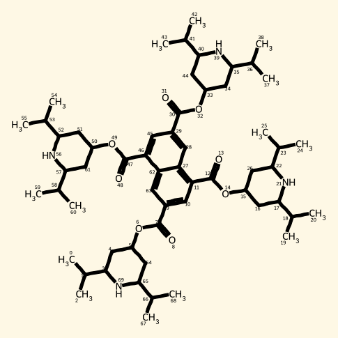 CC(C)C1CC(OC(=O)c2cc(C(=O)OC3CC(C(C)C)NC(C(C)C)C3)c3cc(C(=O)OC4CC(C(C)C)NC(C(C)C)C4)cc(C(=O)OC4CC(C(C)C)NC(C(C)C)C4)c3c2)CC(C(C)C)N1